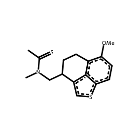 COc1ccc2scc3c2c1CCC3CN(C)C(C)=S